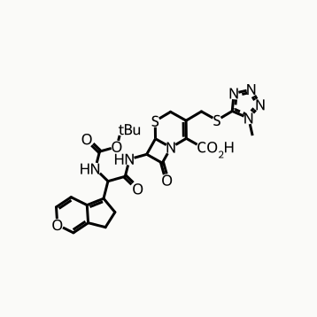 Cn1nnnc1SCC1=C(C(=O)O)N2C(=O)C(NC(=O)C(NC(=O)OC(C)(C)C)C3=C4C=COC=C4CC3)C2SC1